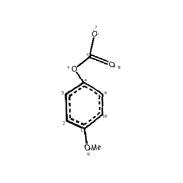 COc1ccc(OC([O])=O)cc1